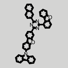 c1ccc2cc(-c3nc(-c4ccc5c(c4)oc4cc(-n6c7ccccc7c7ccccc76)ccc45)nc(-c4cccc5oc6ccccc6c45)n3)ccc2c1